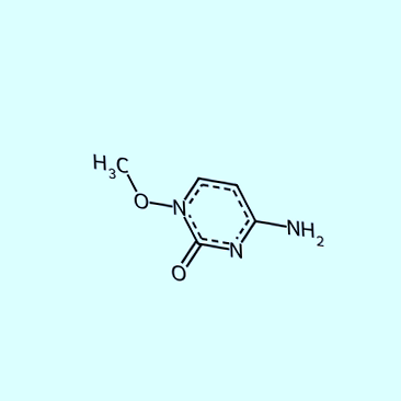 COn1ccc(N)nc1=O